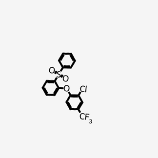 O=S(=O)(c1ccccc1)c1ccccc1Oc1ccc(C(F)(F)F)cc1Cl